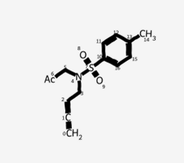 C=C=CCN(CC(C)=O)S(=O)(=O)c1ccc(C)cc1